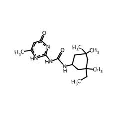 CCC1(C)CC(NC(=O)Nc2nc(=O)cc(C)[nH]2)CC(C)(C)C1